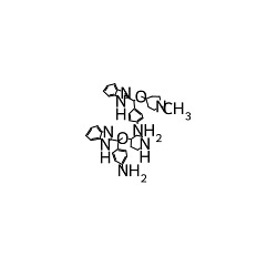 CN1CCC(OC(c2ccc(N)cc2)c2nc3ccccc3[nH]2)CC1.Nc1ccc(C(OC2CCNCC2)c2nc3ccccc3[nH]2)cc1